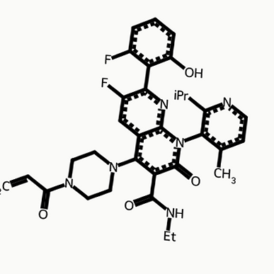 C=CC(=O)N1CCN(c2c(C(=O)NCC)c(=O)n(-c3c(C)ccnc3C(C)C)c3nc(-c4c(O)cccc4F)c(F)cc23)CC1